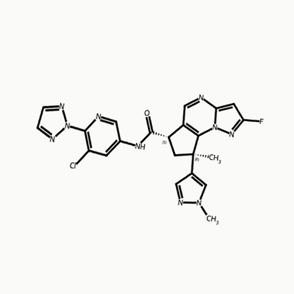 Cn1cc([C@@]2(C)C[C@H](C(=O)Nc3cnc(-n4nccn4)c(Cl)c3)c3cnc4cc(F)nn4c32)cn1